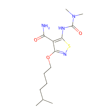 CC(C)CCCCOc1nsc(NC(=O)N(C)C)c1C(N)=O